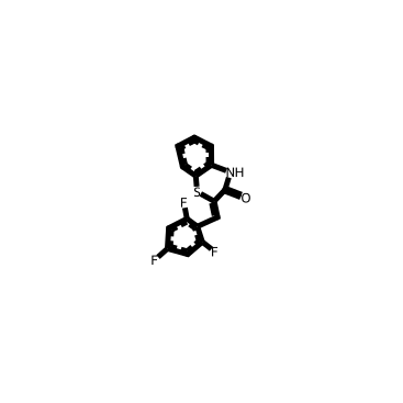 O=C1Nc2ccccc2SC1=Cc1c(F)cc(F)cc1F